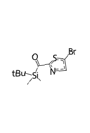 CC(C)(C)[Si](C)(C)C(=O)c1ncc(Br)s1